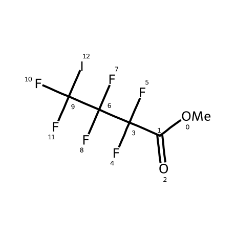 COC(=O)C(F)(F)C(F)(F)C(F)(F)I